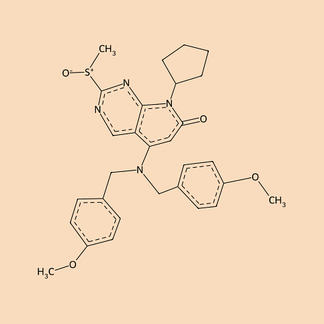 COc1ccc(CN(Cc2ccc(OC)cc2)c2cc(=O)n(C3CCCC3)c3nc([S+](C)[O-])ncc23)cc1